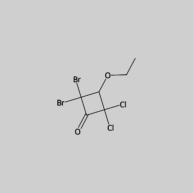 CCOC1C(Cl)(Cl)C(=O)C1(Br)Br